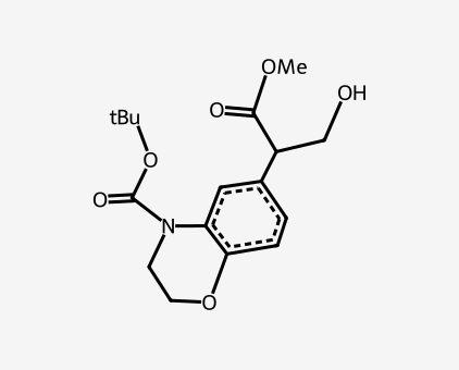 COC(=O)C(CO)c1ccc2c(c1)N(C(=O)OC(C)(C)C)CCO2